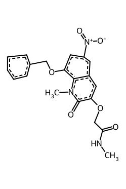 CNC(=O)COc1cc2cc([N+](=O)[O-])cc(OCc3ccccc3)c2n(C)c1=O